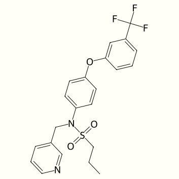 CCCS(=O)(=O)N(Cc1cccnc1)c1ccc(Oc2cccc(C(F)(F)F)c2)cc1